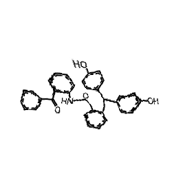 O=C(c1ccccc1)c1ccccc1NC(=O)c1ccccc1C(c1ccc(O)cc1)c1ccc(O)cc1